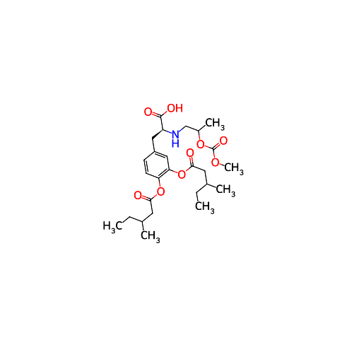 CCC(C)CC(=O)Oc1ccc(C[C@H](NCC(C)OC(=O)OC)C(=O)O)cc1OC(=O)CC(C)CC